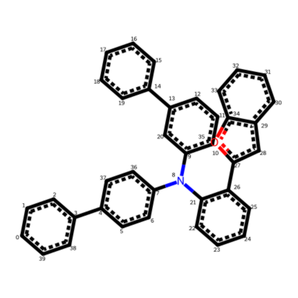 c1ccc(-c2ccc(N(c3cccc(-c4ccccc4)c3)c3ccccc3-c3cc4ccccc4o3)cc2)cc1